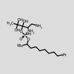 CC(C)CCCCCCCC(OP(=O)(O)OC(O)(C(N)CN)C(C)(O)O)C(C)(C)C